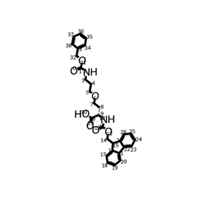 O=C(NCCCOCC[C@H](NC(=O)OCC1c2ccccc2-c2ccccc21)C(=O)O)OCc1ccccc1